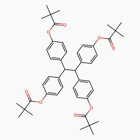 CC(C)(C)C(=O)Oc1ccc(C(c2ccc(OC(=O)C(C)(C)C)cc2)C(c2ccc(OC(=O)C(C)(C)C)cc2)c2ccc(OC(=O)C(C)(C)C)cc2)cc1